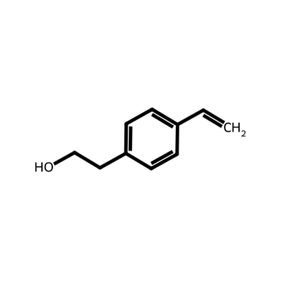 C=Cc1ccc(CCO)cc1